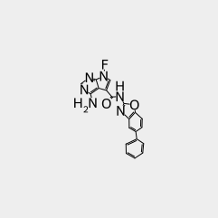 Nc1ncnc2c1c(C(=O)Nc1nc3cc(-c4ccccc4)ccc3o1)cn2F